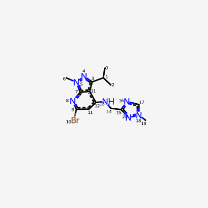 CC(C)c1nn(C)c2nc(Br)cc(NCc3ncn(C)n3)c12